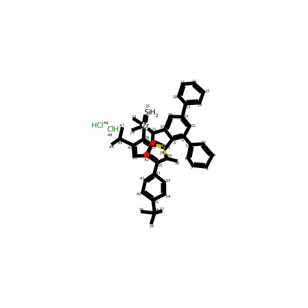 CC1=Cc2c(-c3ccccc3)cc(-c3ccccc3)cc2[CH]1[Zr]([CH3])([CH3])(=[SiH2])[C]1=C2SC(C)C(c3ccc(C(C)(C)C)cc3)=C2C=C1C(C)C.Cl.Cl